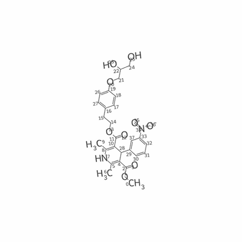 COC(=O)C1=C(C)NC(C)=C(C(=O)OCCc2ccc(OCC(O)CO)cc2)C1c1cccc([N+](=O)[O-])c1